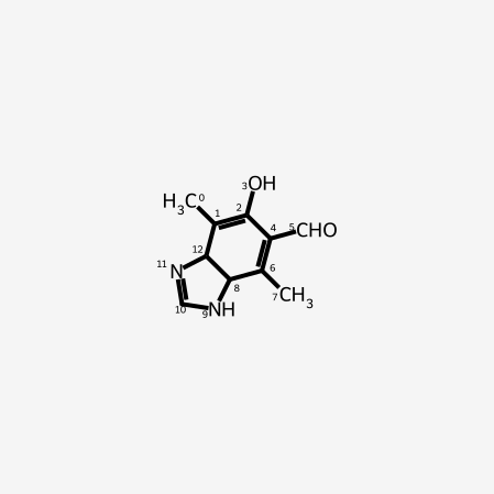 CC1=C(O)C(C=O)=C(C)C2NC=NC12